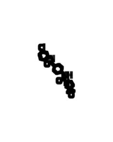 O=C(NC1CCC(c2nc3cc(Cl)ccc3o2)CC1)N1CCC2(COC2)C1